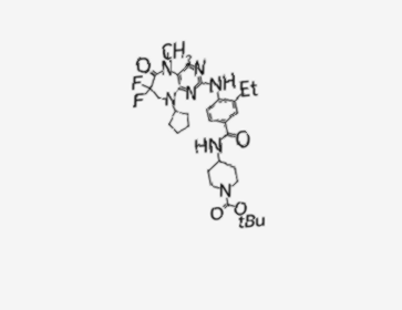 CCc1cc(C(=O)NC2CCN(C(=O)OC(C)(C)C)CC2)ccc1Nc1ncc2c(n1)N(C1CCCC1)CC(F)(F)C(=O)N2C